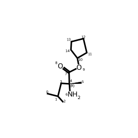 CC(C)C[C@@](C)(N)C(=O)OC1CCCC1